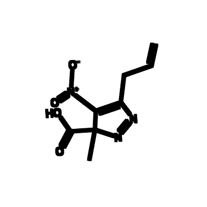 C=CCC1=C([N+](=O)[O-])C(C)(C(=O)O)N=N1